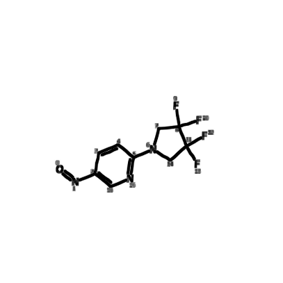 O=Nc1ccc(N2CC(F)(F)C(F)(F)C2)nc1